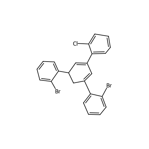 Clc1ccccc1C1=CC(c2ccccc2Br)CC(c2ccccc2Br)=C1